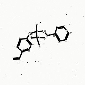 C=Cc1ccc(OC(C)(OCc2ccccc2)C(C)(C)C)cc1